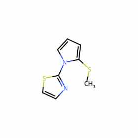 CSc1cccn1-c1nccs1